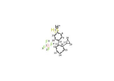 F[B-](F)(F)F.S.[H+].c1ccc(-c2ccccc2C2CC2)cc1